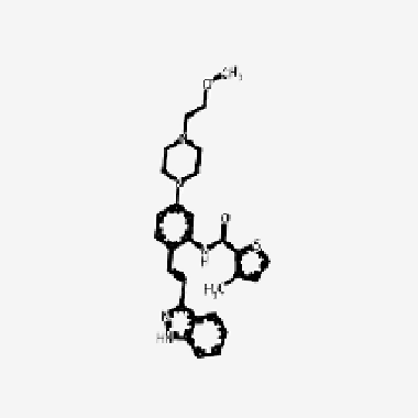 COCCN1CCN(c2ccc(C=Cc3n[nH]c4ccccc34)c(NC(=O)c3sccc3C)c2)CC1